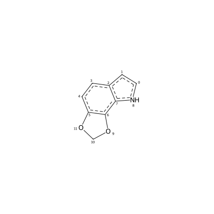 c1cc2ccc3c(c2[nH]1)OCO3